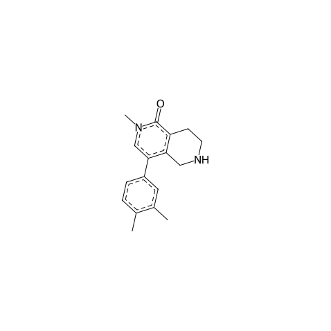 Cc1ccc(-c2cn(C)c(=O)c3c2CNCC3)cc1C